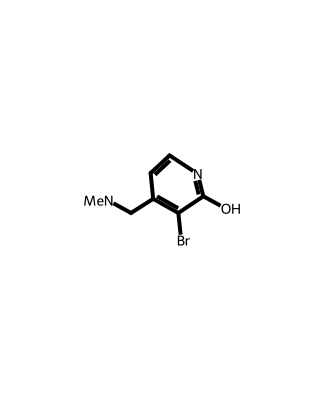 CNCc1ccnc(O)c1Br